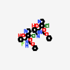 N#Cc1ccccc1C(NC(=O)COc1ccccc1)c1cc(Cl)c2cccnc2c1O.O=C(COc1ccccc1)NC(c1ccccc1F)c1cc(Cl)c2cccnc2c1O